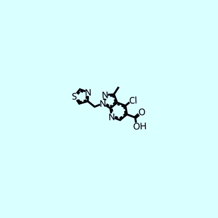 Cc1nn(Cc2cscn2)c2ncc(C(=O)O)c(Cl)c12